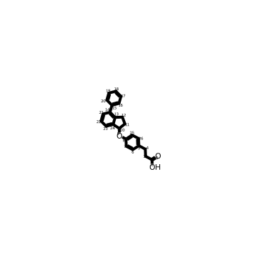 O=C(O)CCc1ccc(OC2CCc3c(-c4ccccc4)cccc32)cc1